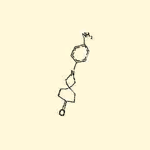 Nc1ccc(N2CC3(CCC(=O)CC3)C2)cc1